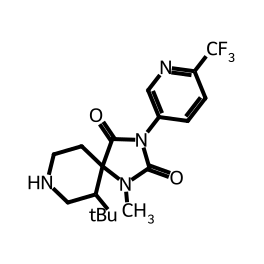 CN1C(=O)N(c2ccc(C(F)(F)F)nc2)C(=O)C12CCNCC2C(C)(C)C